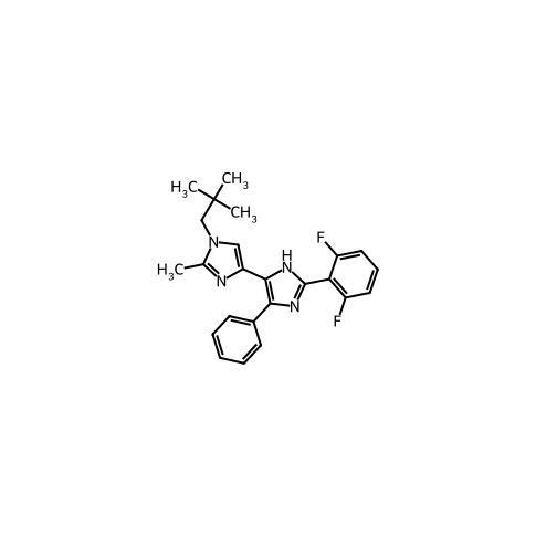 Cc1nc(-c2[nH]c(-c3c(F)cccc3F)nc2-c2ccccc2)cn1CC(C)(C)C